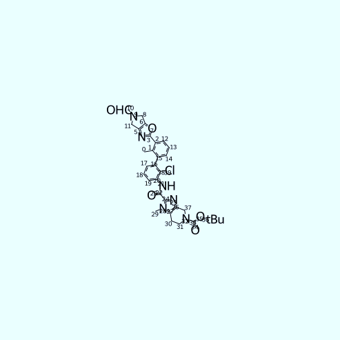 Cc1c(-c2nc3c(o2)CN(C=O)C3)cccc1-c1cccc(NC(=O)c2nc3c(n2C)CCN(C(=O)OC(C)(C)C)C3)c1Cl